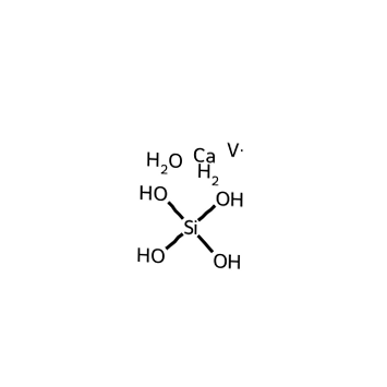 O.O[Si](O)(O)O.[CaH2].[V]